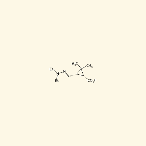 CCN(CC)N=C[C@H]1[C@@H](C(=O)O)C1(C)C